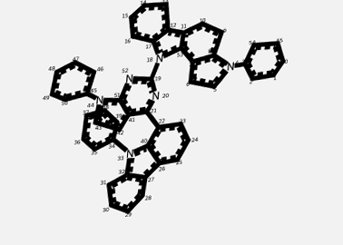 c1ccc(-n2ccc3c2ccc2c4ccccc4n(-c4nc(-c5cccc6c7ccccc7n(-c7ccccc7)c56)c5ccn(-c6ccccc6)c5n4)c23)cc1